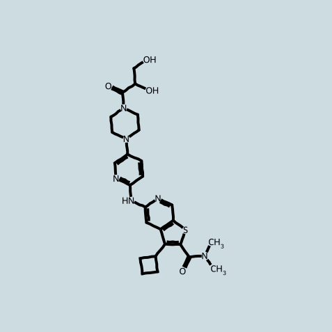 CN(C)C(=O)c1sc2cnc(Nc3ccc(N4CCN(C(=O)C(O)CO)CC4)cn3)cc2c1C1CCC1